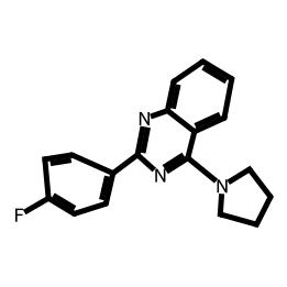 Fc1ccc(-c2nc(N3CCCC3)c3ccccc3n2)cc1